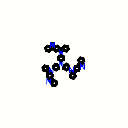 Cn1c2ccccc2c2cc3c(cc21)c1ccccc1n3-c1ccc(N(c2ccc(-n3c4ccccc4c4cc5c(cc43)c3ccccc3n5C)cc2)c2ccc(-n3c4ccccc4c4cc5c(cc43)c3ccccc3n5C)cc2)cc1